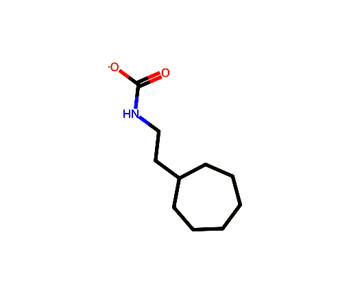 [O]C(=O)NCCC1CCCCCC1